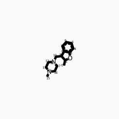 CC1Oc2[c]cccc2C1CN1CCN(C)CC1